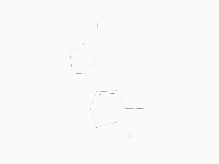 Cc1coc(-c2ccc(C)c(Cl)c2)c1